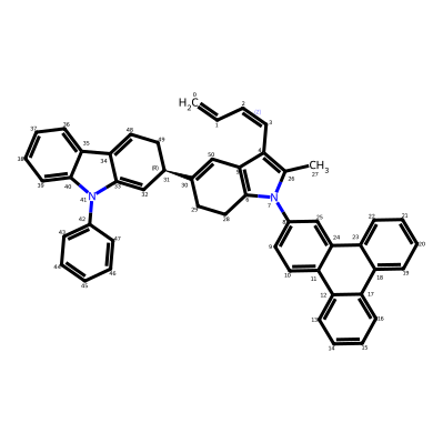 C=C/C=C\c1c2c(n(-c3ccc4c5ccccc5c5ccccc5c4c3)c1C)CCC([C@H]1C=c3c(c4ccccc4n3-c3ccccc3)=CC1)=C2